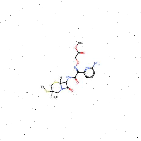 CCSC1(C(=O)O)CS[C@@H]2C(NC(=O)C(=NOCC(=O)OC(C)(C)C)c3cccc(N)n3)C(=O)N2C1